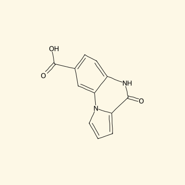 O=C(O)c1ccc2[nH]c(=O)c3cccn3c2c1